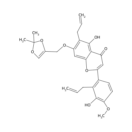 C=CCc1c(-c2cc(=O)c3c(O)c(CC=C)c(OCC4=COC(C)(C)O4)cc3o2)ccc(OC)c1O